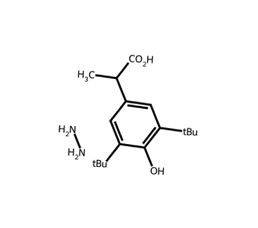 CC(C(=O)O)c1cc(C(C)(C)C)c(O)c(C(C)(C)C)c1.NN